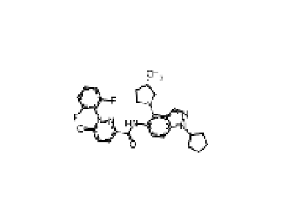 C[C@H]1CCN(c2c(NC(=O)c3ccc(=O)n(-c4c(F)cccc4F)n3)ccc3c2cnn3C2CCCC2)C1